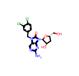 Nc1ncc2c(n1)n([C@@H]1O[C@H](CO)C[C@H]1O)c(=O)n2Cc1ccc(Cl)c(Cl)c1